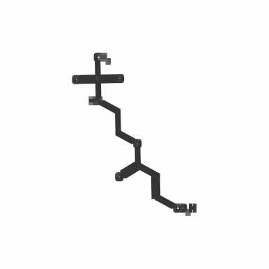 CS(=O)(=O)NCCOC(=O)/C=C/C(=O)O